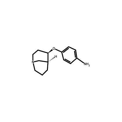 Nc1ccc(O[C@@H]2CCN3CCC[C@H]2C3)cc1